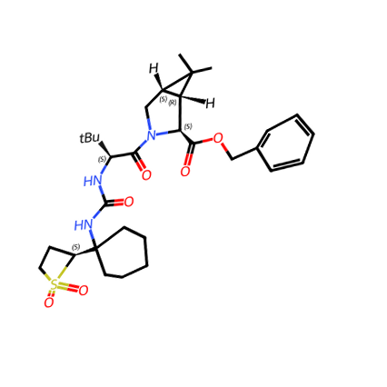 CC(C)(C)[C@H](NC(=O)NC1([C@@H]2CCS2(=O)=O)CCCCC1)C(=O)N1C[C@H]2[C@@H]([C@H]1C(=O)OCc1ccccc1)C2(C)C